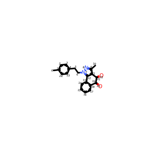 Cc1ccc(CCn2nc(C)c3c2-c2ccccc2C(=O)C3=O)cc1